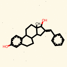 CC12CCC3c4ccc(O)cc4CCC3C1CC(=Cc1ccccc1)C2O